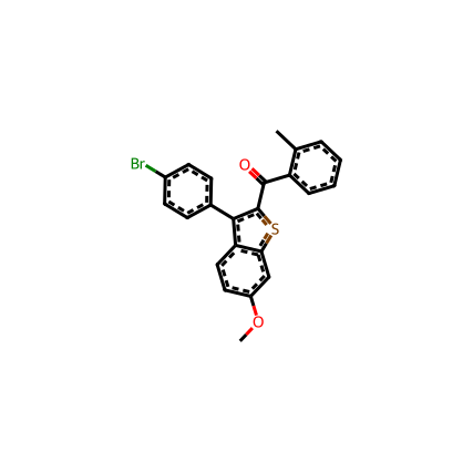 COc1ccc2c(-c3ccc(Br)cc3)c(C(=O)c3ccccc3C)sc2c1